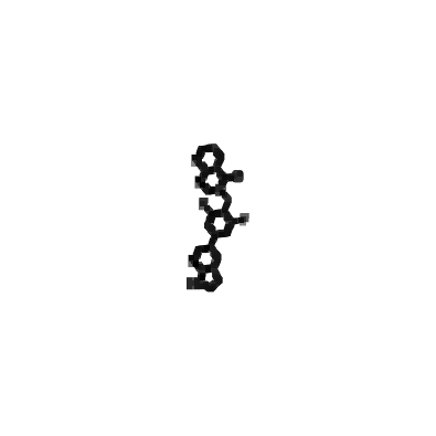 O=c1c2cccnc2ncn1Cc1c(F)cc(-c2cnc3[nH]ccc3c2)cc1F